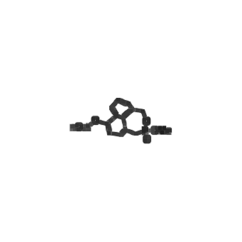 CCCCCCCCOc1ccc2c3c(cccc13)COP(=O)(OC)C2